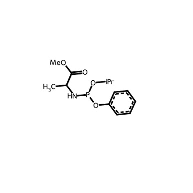 COC(=O)C(C)NP(Oc1ccccc1)OC(C)C